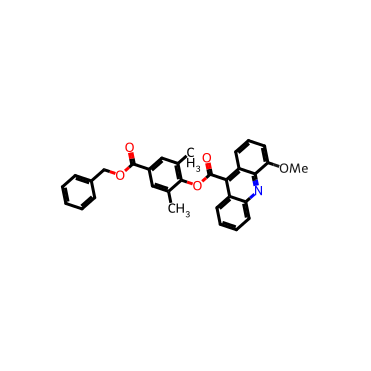 COc1cccc2c(C(=O)Oc3c(C)cc(C(=O)OCc4ccccc4)cc3C)c3ccccc3nc12